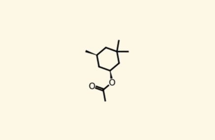 CC(=O)O[C@H]1C[C@@H](C)CC(C)(C)C1